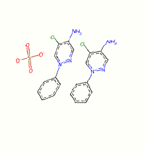 Nc1cn[n+](-c2ccccc2)cc1Cl.Nc1cn[n+](-c2ccccc2)cc1Cl.O=S(=O)([O-])[O-]